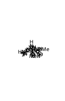 CNC(=O)c1ccc(Nc2nc(OC3CCOCC3)c3c(-c4ccc(-c5nc(C)c(C)[nH]5)cc4)c[nH]c3n2)c(OC)c1